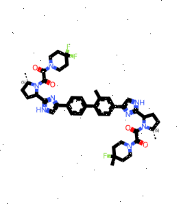 Cc1cc(-c2c[nH]c(C3CC[C@H](C)N3C(=O)C(=O)N3CCC(C)(F)CC3)n2)ccc1-c1ccc(-c2c[nH]c(C3CC[C@H](C)N3C(=O)C(=O)N3CCC(F)(F)CC3)n2)cc1